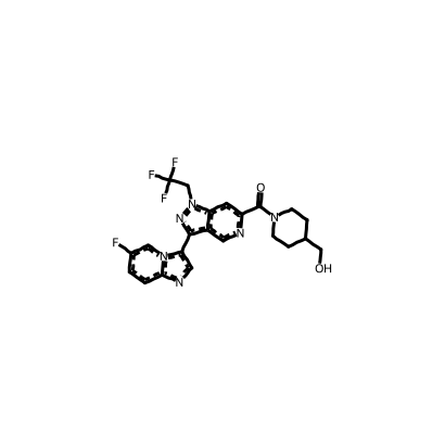 O=C(c1cc2c(cn1)c(-c1cnc3ccc(F)cn13)nn2CC(F)(F)F)N1CCC(CO)CC1